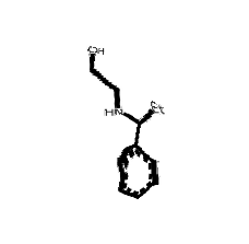 CCC(NCCO)c1[c]cccc1